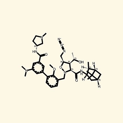 COc1c(CN2O[C@@H](CN=[N+]=[N-])[C@@H]([C@H](C)O)[C@H]2C(=O)N[C@H]2C[C@H]3C[C@@H]([C@@H]2C)C3(C)C)cccc1-c1cc(C(=O)N[C@@H]2CCN(C)C2)cc(N(C)C)c1